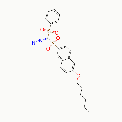 CCCCCCOc1ccc2cc(S(=O)(=O)C(=[N+]=[N-])S(=O)(=O)c3ccccc3)ccc2c1